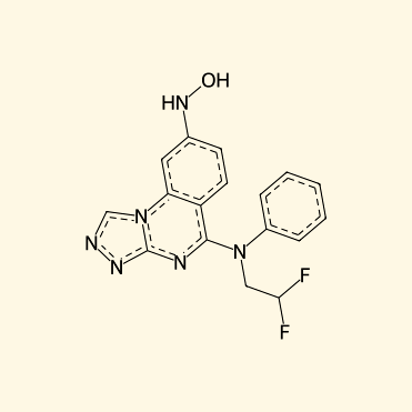 ONc1ccc2c(N(CC(F)F)c3ccccc3)nc3nncn3c2c1